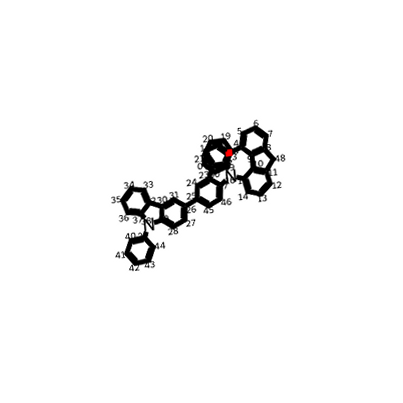 c1ccc(-c2cccc3c2-c2c(cccc2-n2c4ccccc4c4cc(-c5ccc6c(c5)c5ccccc5n6-c5ccccc5)ccc42)C3)cc1